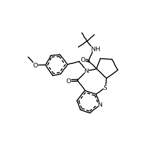 COc1ccc(CN2C(=O)c3cccnc3SC3CCCC32C(=O)NC(C)(C)C)cc1